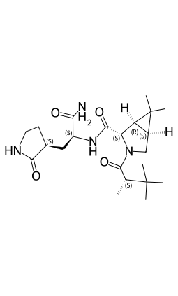 C[C@H](C(=O)N1C[C@H]2[C@@H]([C@H]1C(=O)N[C@@H](C[C@@H]1CCNC1=O)C(N)=O)C2(C)C)C(C)(C)C